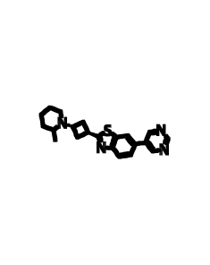 CC1CCCCN1[C@H]1C[C@H](c2nc3ccc(-c4cncnc4)cc3s2)C1